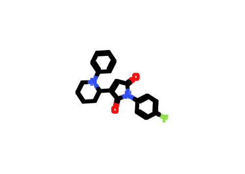 O=C1C=C(C2CCCCN2c2ccccc2)C(=O)N1c1ccc(F)cc1